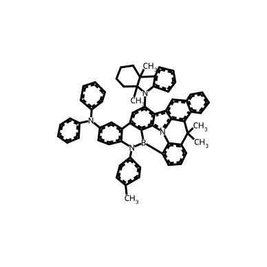 Cc1ccc(N2B3c4cccc5c4-n4c6c(c7ccccc7cc6c6c(N7c8ccccc8C8(C)CCCCC78C)cc(c3c64)-c3cc(N(c4ccccc4)c4ccccc4)ccc32)C5(C)C)cc1